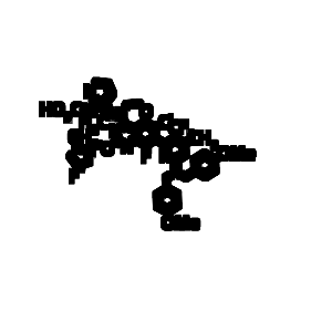 COc1ccc(CN(Cc2ccc(OC)cc2)c2cc(C)c(C(F)(F)F)c(-c3c(Cl)c4c5c(nc(OC[C@@H]6C[C@@H](F)CN6C)nc5c3F)N([C@H](C)c3cccnc3NC(=O)O)CCO4)n2)cc1